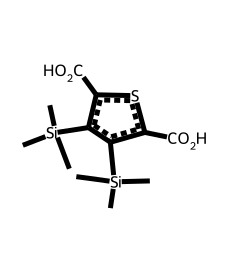 C[Si](C)(C)c1c(C(=O)O)sc(C(=O)O)c1[Si](C)(C)C